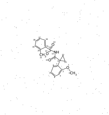 COc1ccccc1C1(C(=O)NS(=O)(=O)c2ccccc2C)CC1